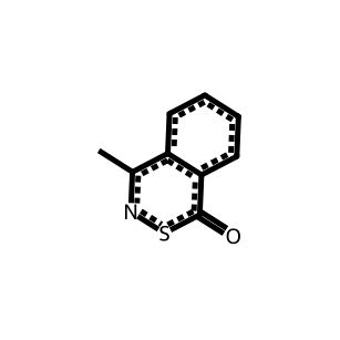 Cc1nsc(=O)c2ccccc12